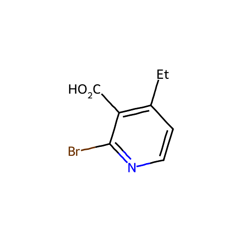 CCc1ccnc(Br)c1C(=O)O